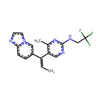 C/C=C(/c1ccc2nccn2c1)c1cnc(NCC(F)(F)F)nc1C